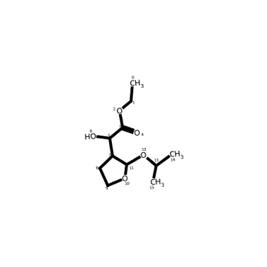 CCOC(=O)C(O)C1CCOC1OC(C)C